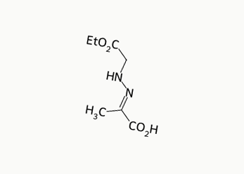 CCOC(=O)CN/N=C(\C)C(=O)O